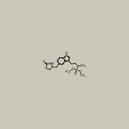 COP(=O)(OC)N(C)CCc1c[nH]c2ccc(CC3COC(=O)N3)cc12